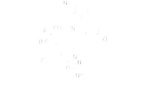 CC(C)(F)C(c1cc(F)cc(-c2nnc(N)o2)c1)C1CN(C(c2ccc(Cl)cc2)c2cccc(C#N)c2)C1